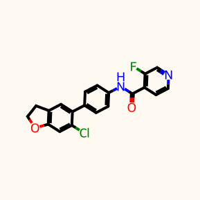 O=C(Nc1ccc(-c2cc3c(cc2Cl)OCC3)cc1)c1ccncc1F